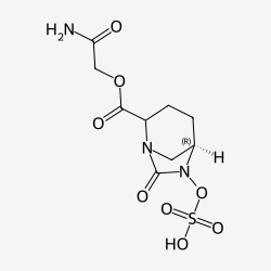 NC(=O)COC(=O)C1CC[C@@H]2CN1C(=O)N2OS(=O)(=O)O